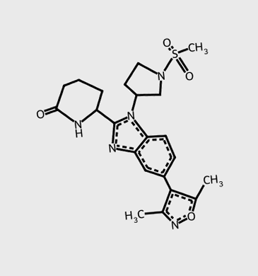 Cc1noc(C)c1-c1ccc2c(c1)nc(C1CCCC(=O)N1)n2C1CCN(S(C)(=O)=O)C1